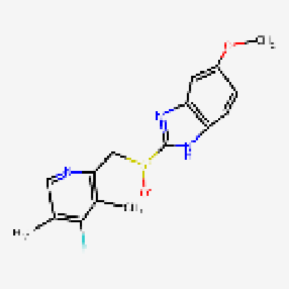 COc1ccc2[nH]c([S+]([O-])Cc3ncc(C)c(F)c3C)nc2c1